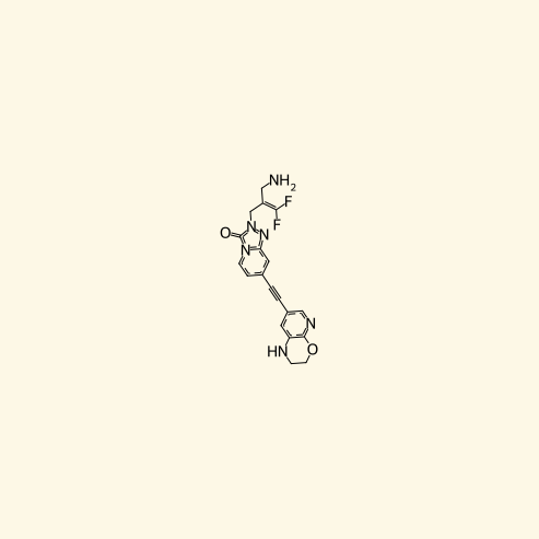 NCC(Cn1nc2cc(C#Cc3cnc4c(c3)NCCO4)ccn2c1=O)=C(F)F